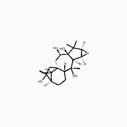 CC1(C)[C@H]2O[C@H]2[C@H]2[C@](C)(O)[C@@H]3CC[C@@H]4[C@H](O)[C@@]3(C[C@@H](O)[C@@]21O)C[C@@]4(C)O